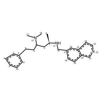 C[C@H](CC(CCc1ccccc1)N(C)C)NCc1ccc2cnccc2c1